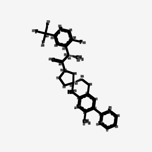 Cc1nc2c(cc1-c1ncccn1)CC[C@@]1(CCN(C(=O)[C@@H](C)c3cc(C(F)(F)F)ncc3F)C1)N2